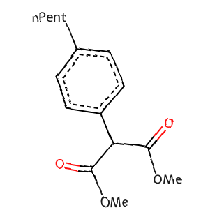 CCCCCc1ccc(C(C(=O)OC)C(=O)OC)cc1